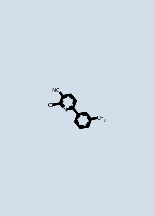 N#Cc1ccc(-c2cccc(C(F)(F)F)c2)nc1Cl